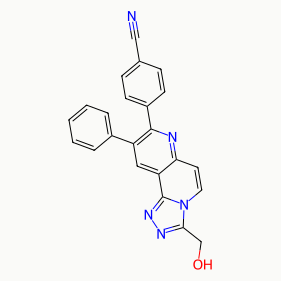 N#Cc1ccc(-c2nc3ccn4c(CO)nnc4c3cc2-c2ccccc2)cc1